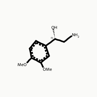 COc1ccc([C@H](O)CN)cc1OC